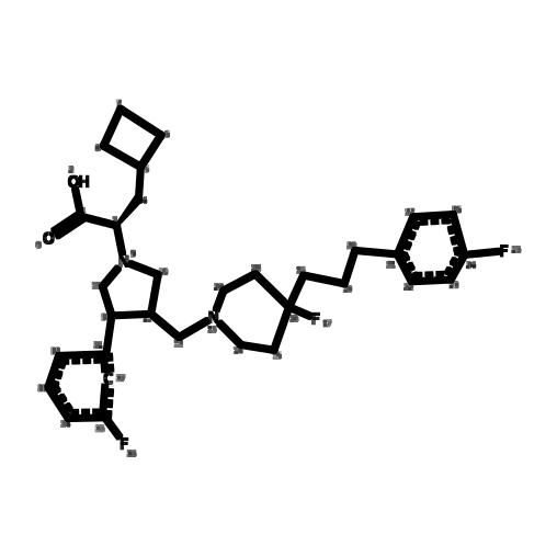 O=C(O)[C@@H](CC1CCC1)N1CC(CN2CCC(F)(CCCc3ccc(F)cc3)CC2)C(c2cccc(F)c2)C1